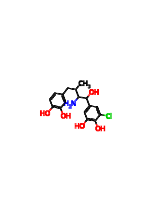 CC(Cc1ccc(O)c(O)c1)C(N)C(O)c1cc(O)c(O)c(Cl)c1